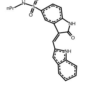 CCCNS(=O)(=O)c1ccc2c(c1)C(=Cc1cc3ccccc3[nH]1)C(=O)N2